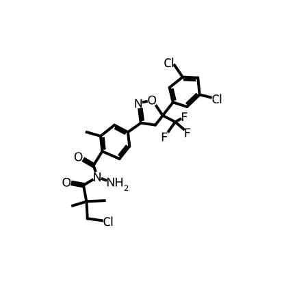 Cc1cc(C2=NOC(c3cc(Cl)cc(Cl)c3)(C(F)(F)F)C2)ccc1C(=O)N(N)C(=O)C(C)(C)CCl